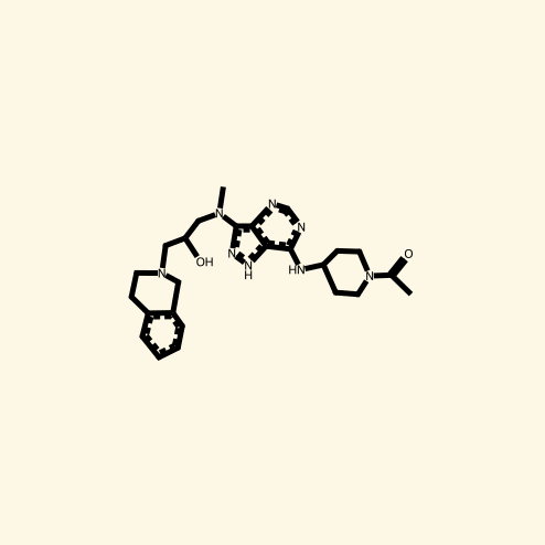 CC(=O)N1CCC(Nc2ncnc3c(N(C)CC(O)CN4CCc5ccccc5C4)n[nH]c23)CC1